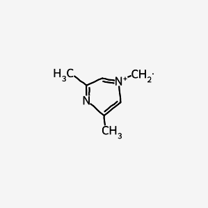 [CH2][n+]1cc(C)nc(C)c1